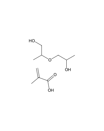 C=C(C)C(=O)O.CC(O)COC(C)CO